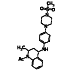 CC(=O)N1c2ccccc2C(Nc2ccc(N3CCN(S(C)(=O)=O)CC3)cc2)CC1C